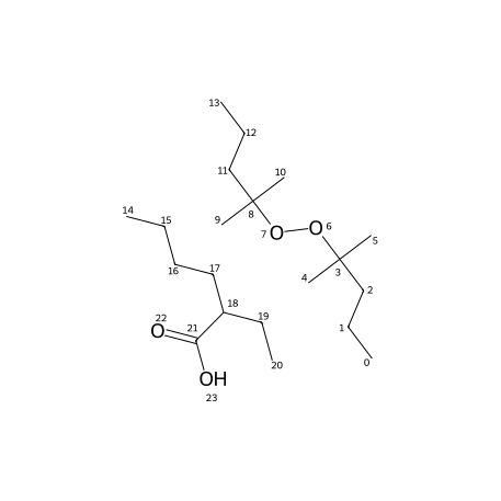 CCCC(C)(C)OOC(C)(C)CCC.CCCCC(CC)C(=O)O